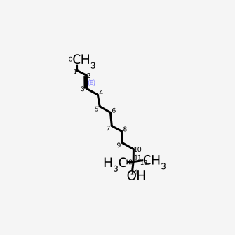 CC/C=C/CCCCCCCC(C)(C)O